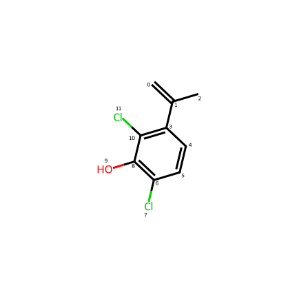 C=C(C)c1ccc(Cl)c(O)c1Cl